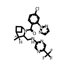 C[C@@H]1C2CC(C2)N(C(=O)c2ccc(Cl)cc2-n2nccn2)C1CNc1cnc(C(F)(F)F)cn1